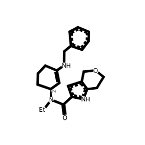 CCN(C(=O)c1cc2c([nH]1)CCOC2)[C@@H]1C=C(NCc2ccccc2)CCC1